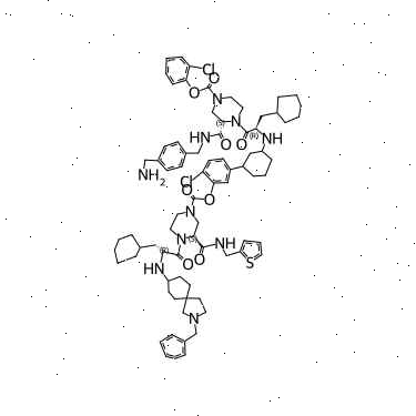 NCc1ccc(CNC(=O)[C@@H]2CN(C(=O)Oc3ccccc3Cl)CCN2C(=O)[C@@H](CC2CCCCC2)NC2CCCC(c3ccc(Cl)c(OC(=O)N4CCN(C(=O)[C@@H](CC5CCCCC5)NC5CCC6(CC5)CCN(Cc5ccccc5)C6)[C@H](C(=O)NCc5cccs5)C4)c3)C2)cc1